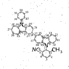 Cc1cccc(C#N)c1-n1c2ccccc2c2cc(-c3ccc4c(c3)c3ccccc3n4-c3ccccc3)ccc21